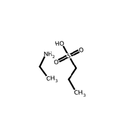 CCCS(=O)(=O)O.CCN